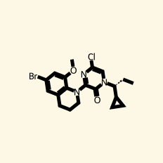 CC[C@H](C1CC1)n1cc(Cl)nc(N2CCCc3cc(Br)cc(OC)c32)c1=O